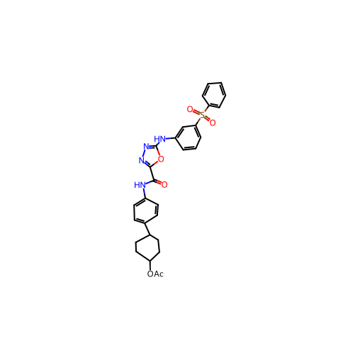 CC(=O)OC1CCC(c2ccc(NC(=O)c3nnc(Nc4cccc(S(=O)(=O)c5ccccc5)c4)o3)cc2)CC1